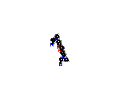 N#Cc1cccc(N(c2ccccc2)c2ccc3cc4c(cc3c2)oc2c4ccc3c4cc5ccc(N(c6ccccc6)c6cccc(C#N)c6)cc5cc4oc32)c1